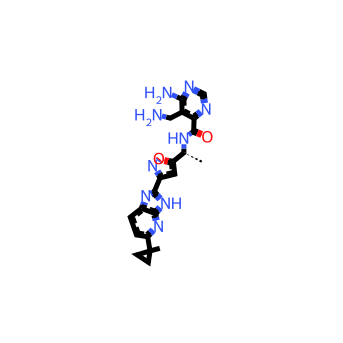 C[C@@H](NC(=O)c1ncnc(N)c1CN)c1cc(-c2nc3ccc(C4(C)CC4)nc3[nH]2)no1